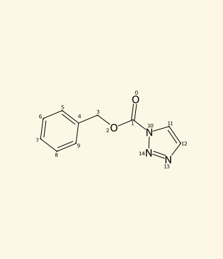 O=C(OCc1ccccc1)n1ccnn1